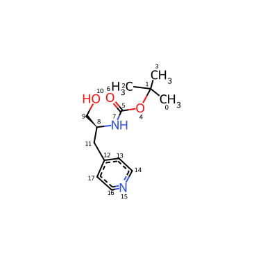 CC(C)(C)OC(=O)N[C@H](CO)Cc1ccncc1